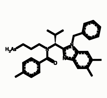 Cc1ccc(C(=O)N(CCC[AsH2])[C@@H](c2nc3cc(C)c(C)cc3n2Cc2ccccc2)C(C)C)cc1